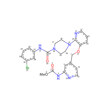 COC(=O)Nc1cc(COc2cccnc2N2CCN(C(=O)Nc3cccc(Br)c3)CC2)ccn1